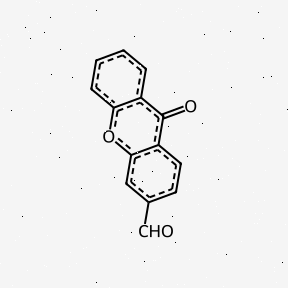 O=Cc1ccc2c(=O)c3ccccc3oc2c1